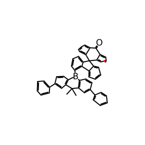 CC1(C)c2cc(-c3ccccc3)ccc2B(c2cccc3c2-c2ccccc2C32c3ccccc3C(=O)c3ccccc32)c2ccc(-c3ccccc3)cc21